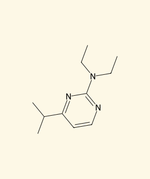 CCN(CC)c1nccc(C(C)C)n1